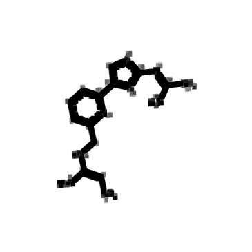 CNC(=C[N+](=O)[O-])NCc1cccc(-c2csc(N=C(N)N)n2)n1